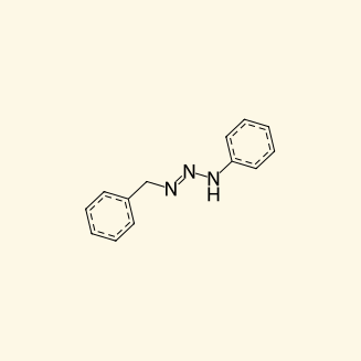 c1ccc(CN=NNc2ccccc2)cc1